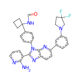 Nc1ncccc1-c1nc2ccc(-c3cccc(N4CCC(F)(F)C4)c3)nc2n1-c1ccc(C2(NC=O)CCC2)cc1